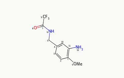 COc1ccc(CNC(=O)C(F)(F)F)cc1N